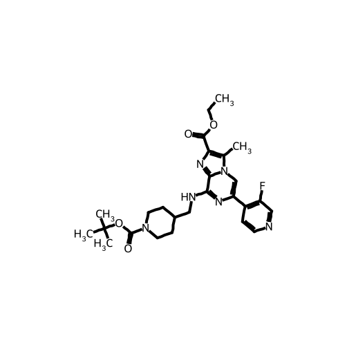 CCOC(=O)c1nc2c(NCC3CCN(C(=O)OC(C)(C)C)CC3)nc(-c3ccncc3F)cn2c1C